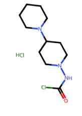 Cl.O=C(Cl)NN1CCC(N2CCCCC2)CC1